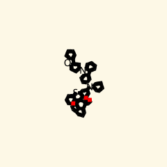 c1ccc(N(c2ccc3c(c2)Sc2ccccc2C32c3ccccc3-c3cccc4cccc2c34)c2ccc3c(c2)c2ccccc2n3-c2ccc3oc4ccccc4c3c2)cc1